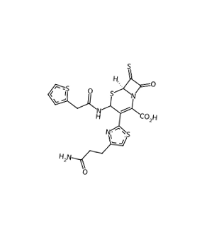 NC(=O)CCc1csc(C2=C(C(=O)O)N3C(=O)C(=S)[C@@H]3SC2NC(=O)Cc2cccs2)n1